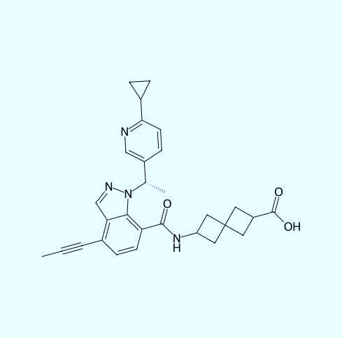 CC#Cc1ccc(C(=O)NC2CC3(C2)CC(C(=O)O)C3)c2c1cnn2[C@@H](C)c1ccc(C2CC2)nc1